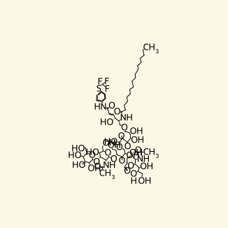 CCCCCCCCCCCCCCCCCC(=O)N[C@@H](CO[C@@H]1OC(CO)[C@@H](O[C@@H]2OC(CO)[C@H](O[C@@H]3OC(CO)[C@H](O)C(O[C@@H]4OC(CO)[C@H](O)C(O)C4O)C3NC(C)=O)C(O[C@]3(C=O)CC(O)[C@@H](NC(C)=O)C([C@H](O)[C@H](O)CO)O3)C2O)C(O)C1O)[C@H](O)/C=C/C(=O)Nc1ccc(SC(F)(F)F)cc1